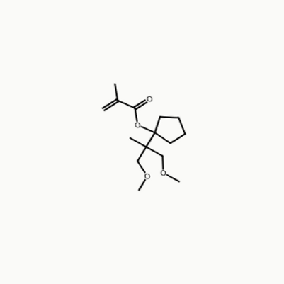 C=C(C)C(=O)OC1(C(C)(COC)COC)CCCC1